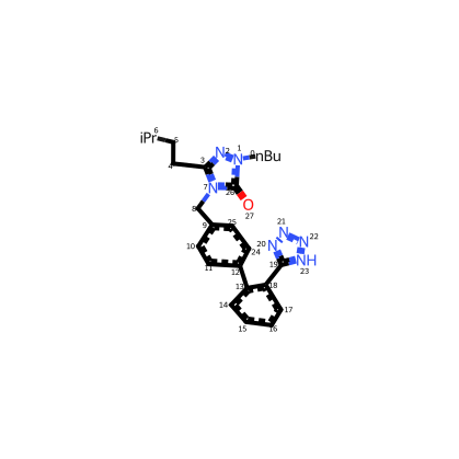 CCCCn1nc(CCC(C)C)n(Cc2ccc(-c3ccccc3-c3nnn[nH]3)cc2)c1=O